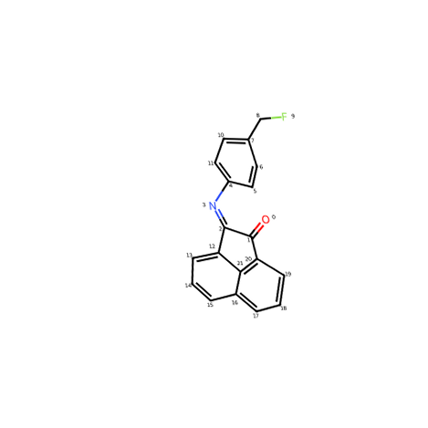 O=C1C(=Nc2ccc(CF)cc2)c2cccc3cccc1c23